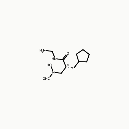 NCNC(=O)[C@H](CC1CCCC1)CN(O)C=O